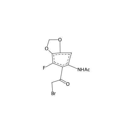 CC(=O)Nc1cc2c(c(F)c1C(=O)CBr)OCO2